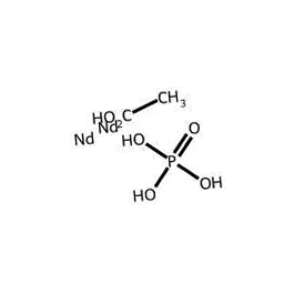 CC(=O)O.O=P(O)(O)O.[Nd].[Nd]